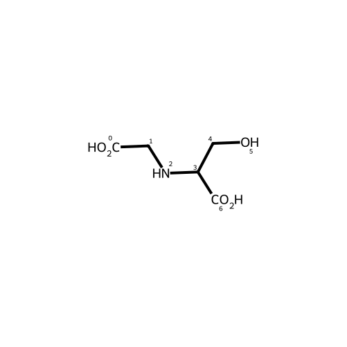 O=C(O)CNC(CO)C(=O)O